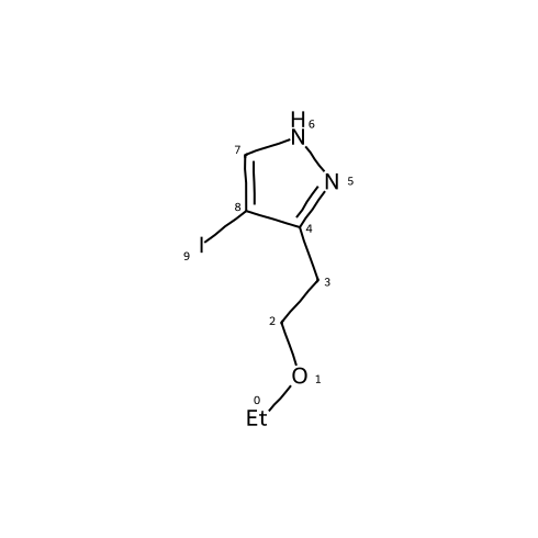 CCOCCc1n[nH]cc1I